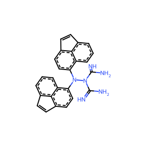 N=C(N)N(C(=N)N)N(c1ccc2c3c(cccc13)C=C2)c1ccc2c3c(cccc13)C=C2